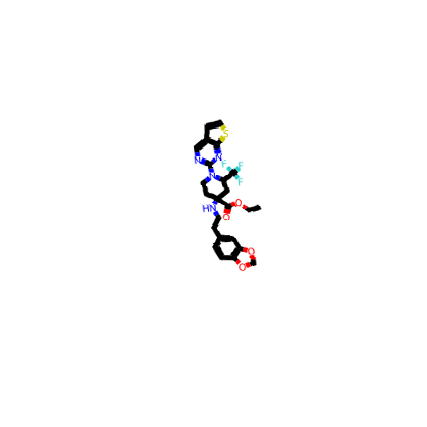 CCOC(=O)C1(NCCc2ccc3c(c2)OCO3)CCN(c2ncc3ccsc3n2)C(C(F)(F)F)C1